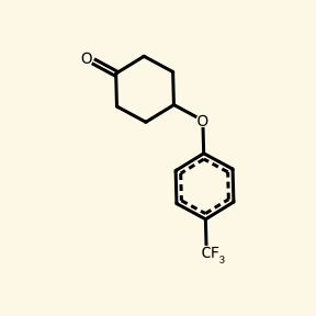 O=C1CCC(Oc2ccc(C(F)(F)F)cc2)CC1